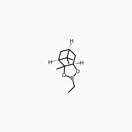 CCB1O[C@@H]2C[C@@H]3C[C@@H](C3(C)C)C2(C)O1